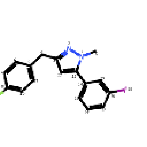 Cn1nc(Cc2ccc(F)cc2)cc1-c1cccc(I)c1